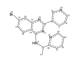 CC(Nc1nc(-c2cccnc2)nc2cc(Br)ccc12)c1ccccn1